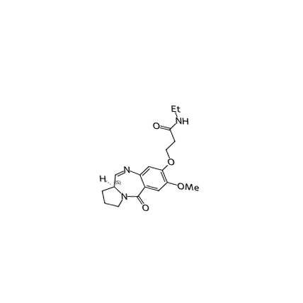 CCNC(=O)CCOc1cc2c(cc1OC)C(=O)N1CCC[C@H]1C=N2